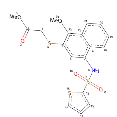 COC(=O)CSc1cc(NS(=O)(=O)c2cccs2)c2ccccc2c1OC